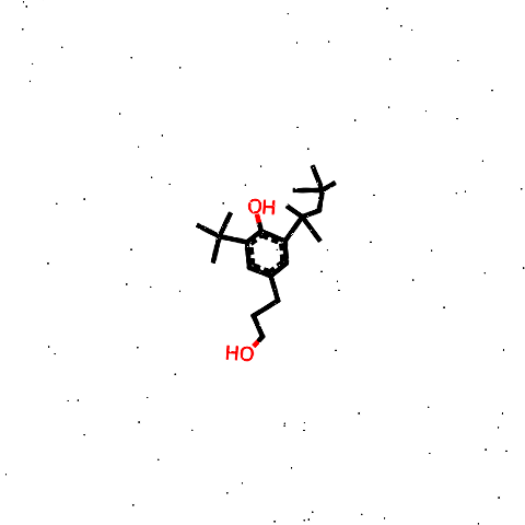 CC(C)(C)CC(C)(C)c1cc(CCCO)cc(C(C)(C)C)c1O